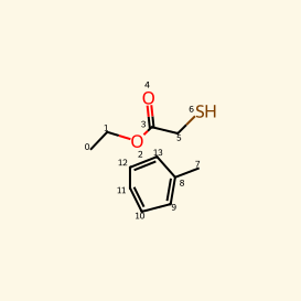 CCOC(=O)CS.Cc1ccccc1